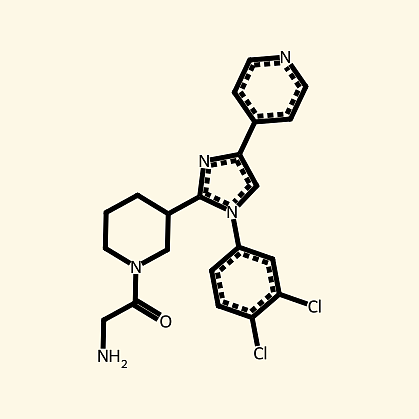 NCC(=O)N1CCCC(c2nc(-c3ccncc3)cn2-c2ccc(Cl)c(Cl)c2)C1